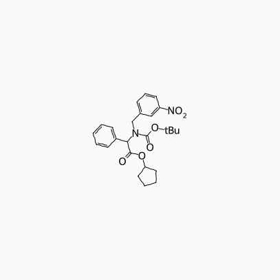 CC(C)(C)OC(=O)N(Cc1cccc([N+](=O)[O-])c1)C(C(=O)OC1CCCC1)c1ccccc1